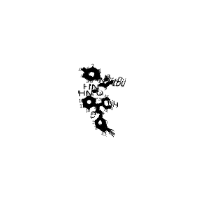 Cc1ccc(-n2nc(C(C)(C)C)cc2NC(=O)Nc2cccc(C(C(=O)Cc3cccc(F)c3)C3CCNCC3)c2)cc1